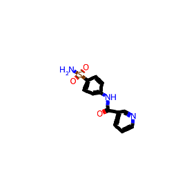 NS(=O)(=O)c1ccc(NC(=O)c2cccnc2)cc1